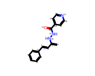 C=C(/C=C/c1ccccc1)NNC(=O)c1ccncc1